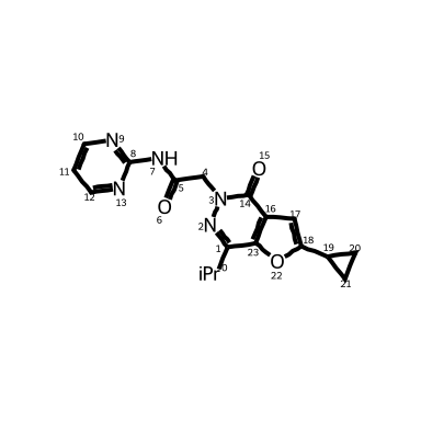 CC(C)c1nn(CC(=O)Nc2ncccn2)c(=O)c2cc(C3CC3)oc12